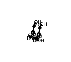 C[C@@](CCN1Cc2cc(C#Cc3ccc(CCO)cc3)cn2C1=O)(C(=O)NO)S(C)(=O)=O.C[C@@](CCN1Cc2cc(C#Cc3ccc([C@@H](O)CO)cc3)cn2C1=O)(C(=O)NO)S(C)(=O)=O